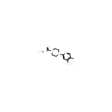 CC(C)(C)OC(=O)N1CCN(c2cc(N)c(F)cn2)CC1